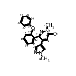 Cn1cc(-c2cc(=O)n(C)nc2-c2ccccc2Oc2ccccc2)cn1